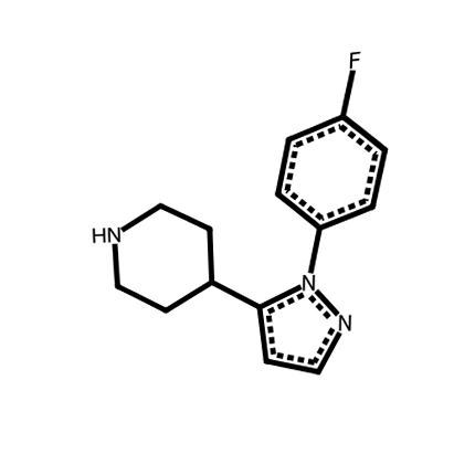 Fc1ccc(-n2nccc2C2CCNCC2)cc1